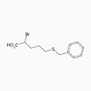 O=C(O)C(Br)CCCSCc1ccccc1